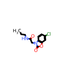 CCCNC(=O)Cn1c(=O)oc2cc(Cl)ccc21